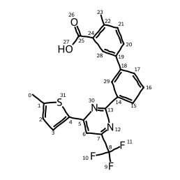 Cc1ccc(-c2cc(C(F)(F)F)nc(-c3cccc(-c4ccc(C)c(C(=O)O)c4)c3)n2)s1